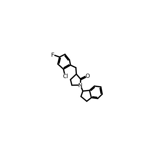 O=C1C(Cc2ccc(F)cc2Cl)CCN1C1CCc2ccccc21